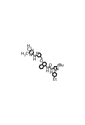 CCc1ccc(-n2nc(C(C)(C)C)cc2NC(=O)Nc2ccc(OCc3ccnc(Nc4cnc(C)c(C)n4)c3)c3ccccc23)cc1